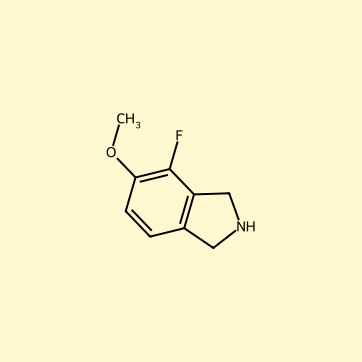 COc1ccc2c(c1F)CNC2